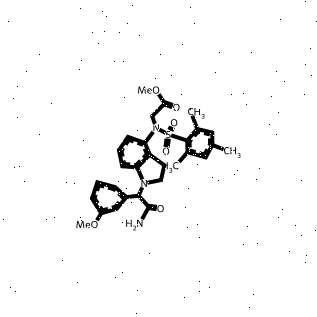 COC(=O)CN(c1cccc2c1CCN2C(C(N)=O)c1cccc(OC)c1)S(=O)(=O)c1c(C)cc(C)cc1C